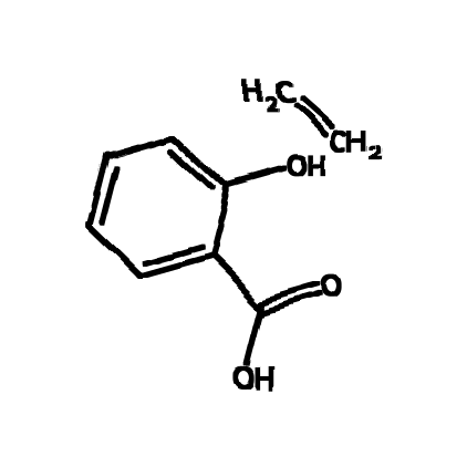 C=C.O=C(O)c1ccccc1O